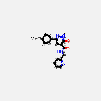 COc1ccc(-c2cc(C(=O)NCc3ccccn3)c(=O)n(C)n2)cc1